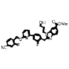 COC(=O)c1ccc2nc(Cc3ccc(-c4cccc(OCc5ccc(C#N)cc5F)n4)cc3F)n(CCCO)c2c1